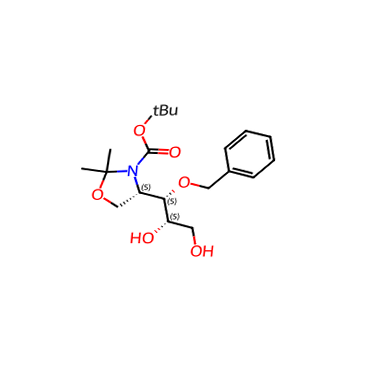 CC(C)(C)OC(=O)N1[C@H]([C@H](OCc2ccccc2)[C@@H](O)CO)COC1(C)C